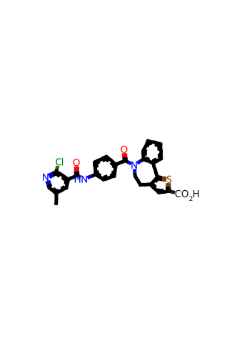 Cc1cnc(Cl)c(C(=O)Nc2ccc(C(=O)N3CCc4cc(C(=O)O)sc4-c4ccccc43)cc2)c1